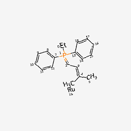 CCP(=CC=C(C)C)(c1ccccc1)c1ccccc1.[Ru]